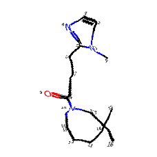 Cn1ccnc1CCC(=O)N1CCCC(C)(C)C1